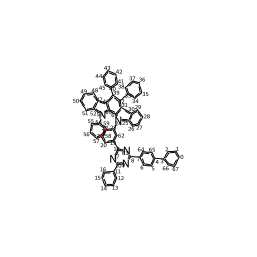 c1ccc(-c2ccc(-c3nc(-c4ccccc4)nc(-c4cccc(-n5c6ccccc6c6c(-c7ccccc7)c(-c7ccccc7)c7c8ccccc8n(-c8ccccc8)c7c65)c4)n3)cc2)cc1